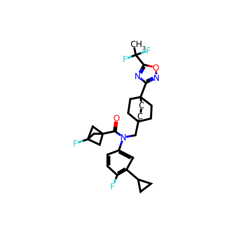 CC(F)(F)c1nc(C23CCC(CN(C(=O)C45CC(F)(C4)C5)c4ccc(F)c(C5CC5)c4)(CC2)CC3)no1